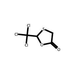 O=C1CSC(C(Cl)(Cl)Cl)O1